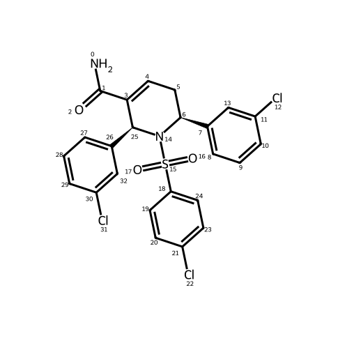 NC(=O)C1=CC[C@@H](c2cccc(Cl)c2)N(S(=O)(=O)c2ccc(Cl)cc2)[C@H]1c1cccc(Cl)c1